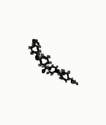 CCc1ccc(N2CCN(C(=O)c3cccc(Oc4ccc(C)cc4)c3)CC2)cc1